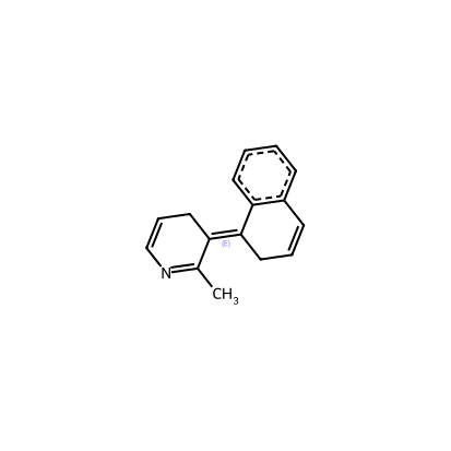 CC1=NC=CC/C1=C1/CC=Cc2ccccc21